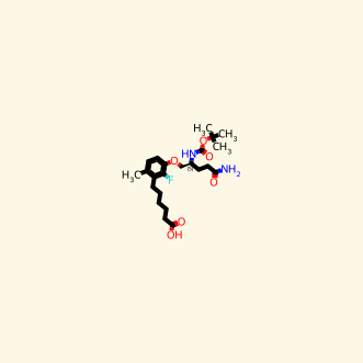 Cc1ccc(OC[C@H](CCC(N)=O)NC(=O)OC(C)(C)C)c(F)c1CCCCCC(=O)O